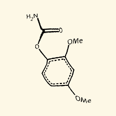 COc1ccc(OC(N)=O)c(OC)c1